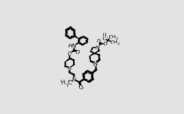 CN(CCN1CCC(OC(=O)Nc2ccccc2-c2ccccc2)CC1)C(=O)c1ccc(CN2CCC3(CC2)CCN(C(=O)OC(C)(C)C)C3)cc1